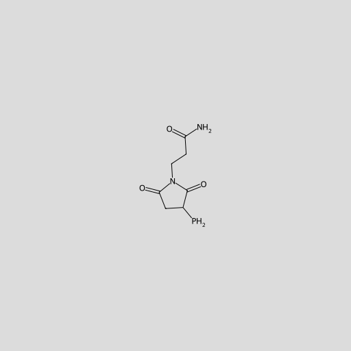 NC(=O)CCN1C(=O)CC(P)C1=O